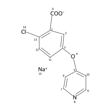 O=C([O-])c1cc(Oc2ccncc2)ccc1Cl.[Na+]